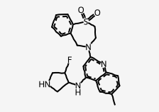 Cc1ccc2nc(N3CCS(=O)(=O)c4ccccc4C3)cc(NC3CNCC3F)c2c1